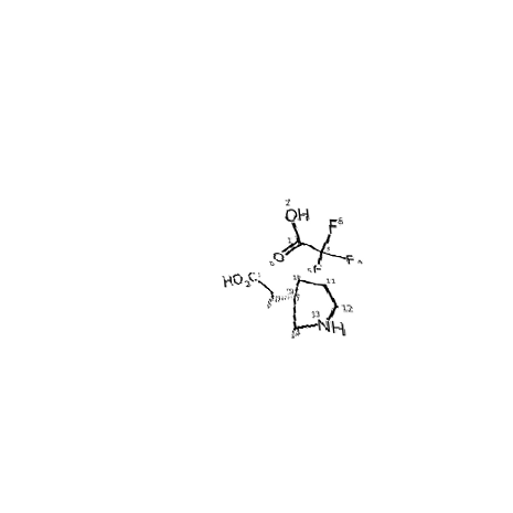 O=C(O)C(F)(F)F.O=C(O)C[C@@H]1CCCNC1